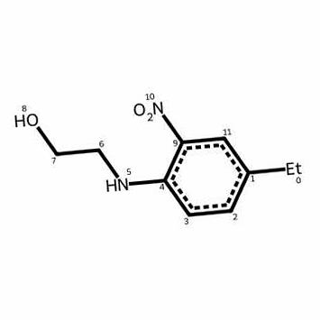 CCc1ccc(NCCO)c([N+](=O)[O-])c1